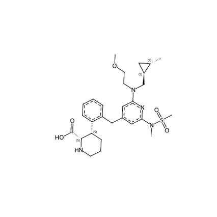 COCCN(C[C@H]1C[C@@H]1C)c1cc(Cc2ccccc2[C@@H]2CCCN[C@@H]2C(=O)O)cc(N(C)S(C)(=O)=O)n1